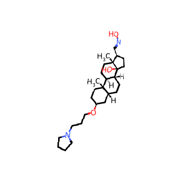 C[C@]12CC[C@H](OCCCN3CCCC3)C[C@H]1CC[C@@H]1[C@@H]2CC[C@]2(C)[C@@H](/C=N/O)CC[C@]12O